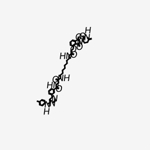 C=C1CCC(N2C(=O)c3cccc(OCC(=O)NCCCCCCCCNC(=O)CNC(=O)c4cccc(-c5cc(Nc6ccc(C)cc6)ncn5)c4)c3C2=O)C(=O)N1